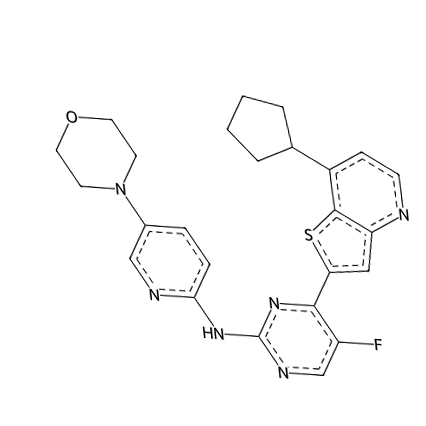 Fc1cnc(Nc2ccc(N3CCOCC3)cn2)nc1-c1cc2nccc(C3CCCC3)c2s1